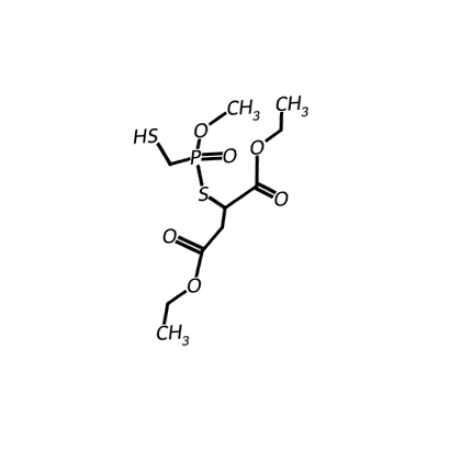 CCOC(=O)CC(SP(=O)(CS)OC)C(=O)OCC